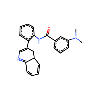 CN(C)c1cccc(C(=O)Nc2ccccc2C2=CN=C3C=CC=CC3C2)c1